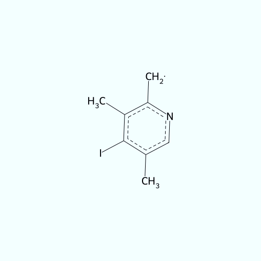 [CH2]c1ncc(C)c(I)c1C